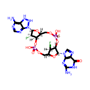 Nc1nc2c(ncn2[C@@H]2O[C@@H]3COP(=O)(O)O[C@H]4[C@H](F)[C@H](N5NNc6c(N)ncnc65)O[C@@H]4COP(O)(=S)O[C@@H]2[C@@H]3F)c(=O)[nH]1